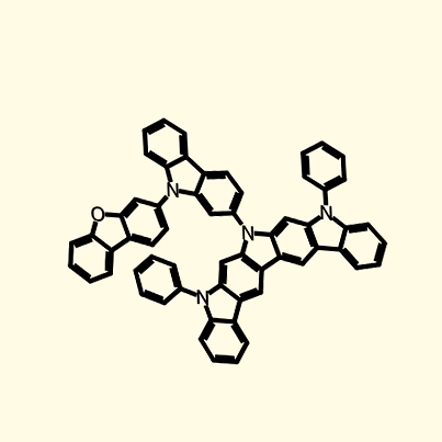 c1ccc(-n2c3ccccc3c3cc4c5cc6c7ccccc7n(-c7ccccc7)c6cc5n(-c5ccc6c7ccccc7n(-c7ccc8c(c7)oc7ccccc78)c6c5)c4cc32)cc1